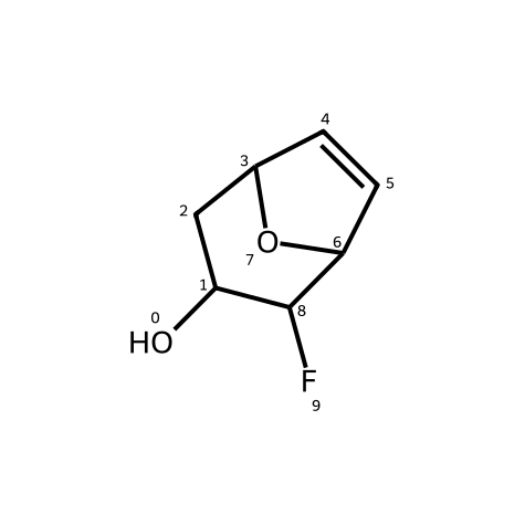 OC1CC2C=CC(O2)C1F